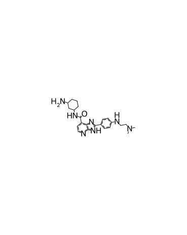 CN(C)CCNc1ccc(-c2nc3c(C(=O)NC4CCCC(N)C4)ccnc3[nH]2)cc1